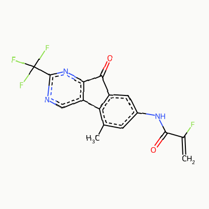 C=C(F)C(=O)Nc1cc(C)c2c(c1)C(=O)c1nc(C(F)(F)F)ncc1-2